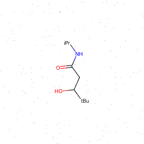 CC(C)NC(=O)CC(O)C(C)(C)C